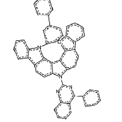 c1ccc(-c2cccc(-n3c4ccccc4c4ccc5c(c6c7oc8ccccc8c7ccc6n5-c5nc(-c6ccccc6)c6ccccc6n5)c43)c2)cc1